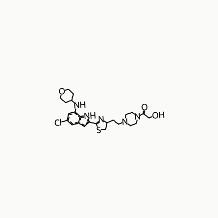 O=C(CO)N1CCN(CCC2CSC(c3cc4cc(Cl)cc(NC5CCOCC5)c4[nH]3)=N2)CC1